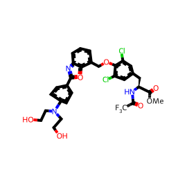 COC(=O)[C@H](Cc1cc(Cl)c(OCc2cccc3nc(-c4ccc(N(CCO)CCO)cc4)oc23)c(Cl)c1)NC(=O)C(F)(F)F